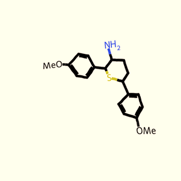 COc1ccc(C2CCC(N)C(c3ccc(OC)cc3)S2)cc1